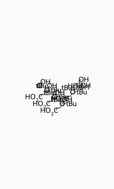 CC(C)(C)c1cc(CCC(=O)O)cc(C(C)(C)C)c1O.CC(C)(C)c1cc(CCC(=O)O)cc(C(C)(C)C)c1O.CC(C)(C)c1cc(CCC(=O)O)cc(C(C)(C)C)c1O.CC(C)(C)c1cc(CCC(=O)O)cc(C(C)(C)C)c1O.OCC(CO)(CO)CO.Oc1ccccc1